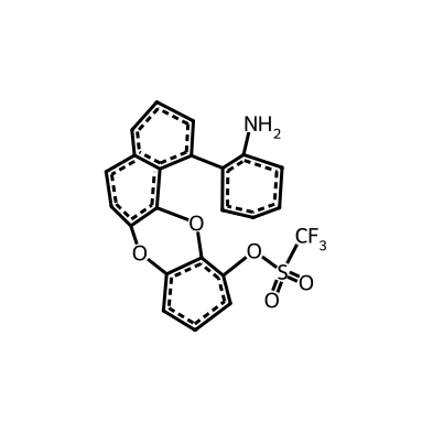 Nc1ccccc1-c1cccc2ccc3c(c12)Oc1c(cccc1OS(=O)(=O)C(F)(F)F)O3